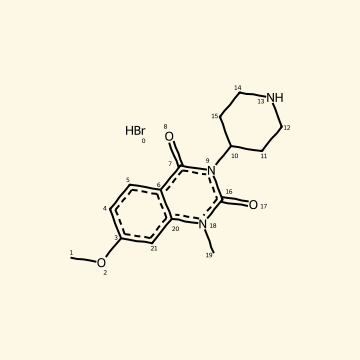 Br.COc1ccc2c(=O)n(C3CCNCC3)c(=O)n(C)c2c1